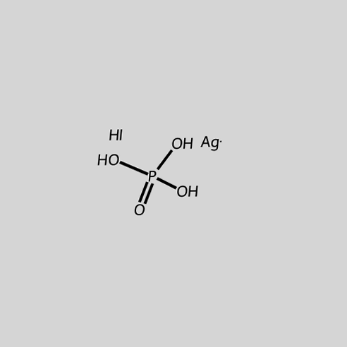 I.O=P(O)(O)O.[Ag]